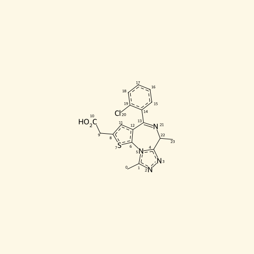 Cc1nnc2n1-c1sc(CC(=O)O)cc1C(c1ccccc1Cl)=NC2C